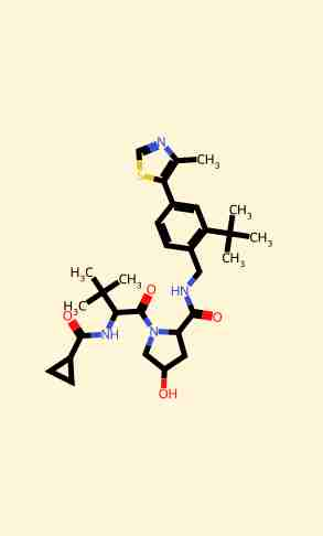 Cc1ncsc1-c1ccc(CNC(=O)C2CC(O)CN2C(=O)C(NC(=O)C2CC2)C(C)(C)C)c(C(C)(C)C)c1